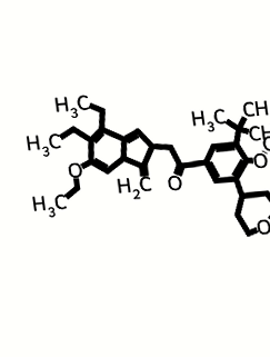 C=C1C(CC(=O)c2cc(C3CCOCC3)c(OC)c(C(C)(C)C)c2)C=C2C(CC)=C(CC)C(OCC)=CC12